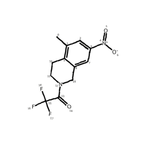 Cc1cc([N+](=O)[O-])cc2c1CCN(C(=O)C(F)(F)F)C2